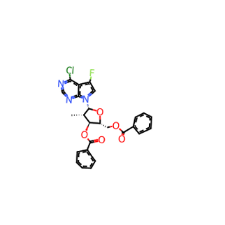 C[C@H]1[C@H](OC(=O)c2ccccc2)[C@@H](COC(=O)c2ccccc2)O[C@H]1n1cc(F)c2c(Cl)ncnc21